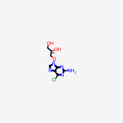 Nc1nc(Cl)c2ncn(OC[C@H](O)CO)c2n1